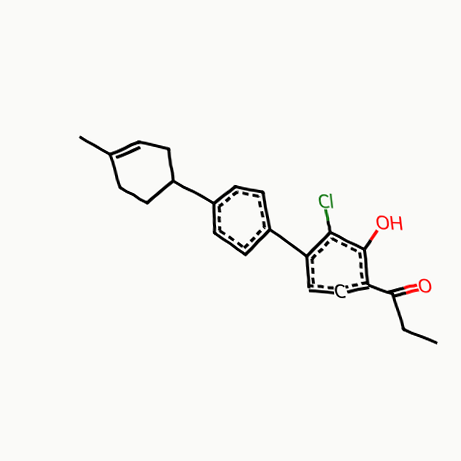 CCC(=O)c1ccc(-c2ccc(C3CC=C(C)CC3)cc2)c(Cl)c1O